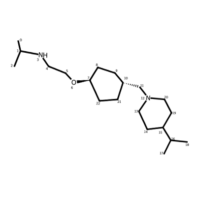 CC(C)NCCO[C@H]1CC[C@H](CN2CCC(C(C)C)CC2)CC1